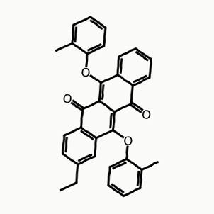 CCc1ccc2c(c1)C(Oc1ccccc1C)=C1C(=O)c3ccccc3C(Oc3ccccc3C)=C1C2=O